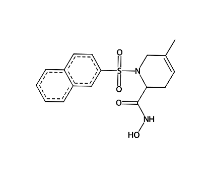 CC1=CCC(C(=O)NO)N(S(=O)(=O)c2ccc3ccccc3c2)C1